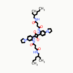 CCCCC(CC)CNC(=O)CCC(=O)NC1=CC(=[N+]2CCCC2)C=C/C1=C1\C(=O)C(c2ccc(N3CCCC3)cc2NC(=O)CCC(=O)NCC(CC)CCCC)=C1[O-]